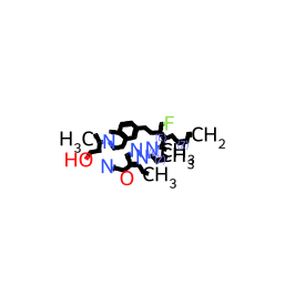 C=C/C=C\C/C(=C(\CF)CCc1ccc2c(c1)CCN(C(CC)CCO)C2)C(C)/N=C(\C=C/C)n1ncc(C(=O)C#N)c1CC